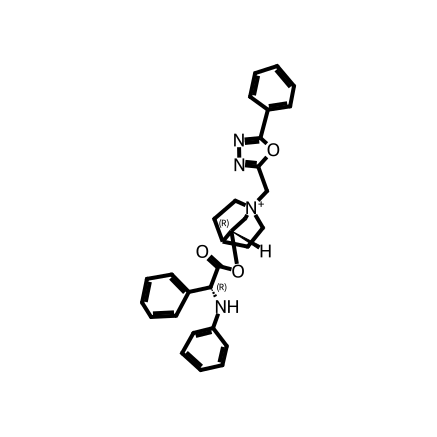 O=C(O[C@H]1C[N+]2(Cc3nnc(-c4ccccc4)o3)CCC1CC2)[C@H](Nc1ccccc1)c1ccccc1